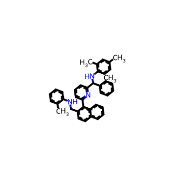 Cc1cc(C)c(NC(c2ccccc2)c2cccc(-c3c(CNc4ccccc4C)ccc4ccccc34)n2)c(C)c1